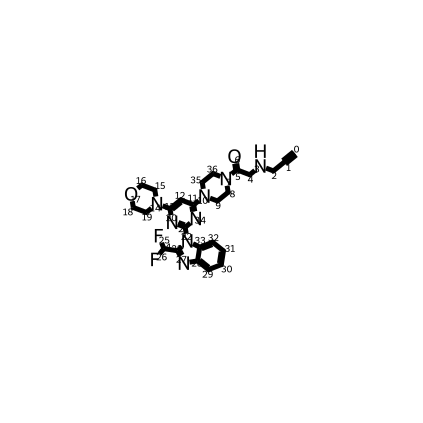 C#CCNCC(=O)N1CCN(c2cc(N3CCOCC3)nc(-n3c(C(F)F)nc4ccccc43)n2)CC1